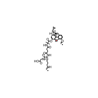 C=PNCCCC[C@H](NC(=O)CCC(=O)NC(C)(C)C(=O)OC1=CC[C@@]2(O)[C@H]3Cc4ccc(OP=C)c5c4[C@@]2(CCN3CC2CC2)[C@H]1O5)C(=O)NCC(=O)O